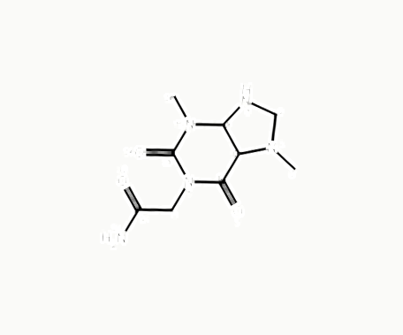 CN1CNC2C1C(=O)N(CC(N)=O)C(=O)N2C